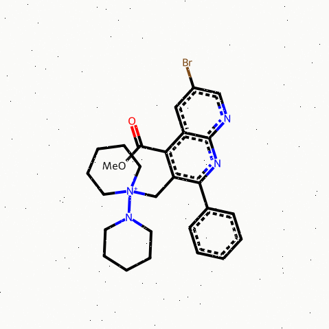 COC(=O)c1c(C[N+]2(N3CCCCC3)CCCCC2)c(-c2ccccc2)nc2ncc(Br)cc12